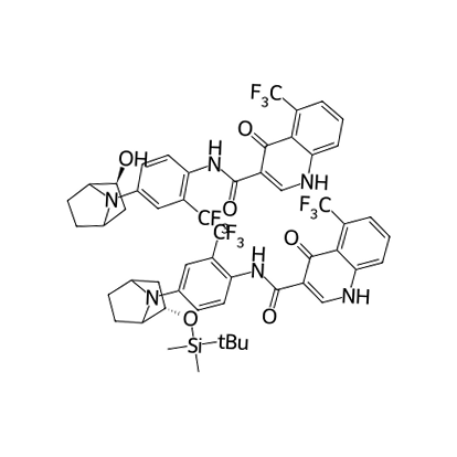 CC(C)(C)[Si](C)(C)O[C@H]1CC2CCC1N2c1ccc(NC(=O)c2c[nH]c3cccc(C(F)(F)F)c3c2=O)c(C(F)(F)F)c1.O=C(Nc1ccc(N2C3CCC2[C@@H](O)C3)cc1C(F)(F)F)c1c[nH]c2cccc(C(F)(F)F)c2c1=O